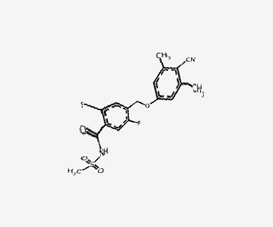 Cc1cc(OCc2cc(F)c(C(=O)NS(C)(=O)=O)cc2F)cc(C)c1C#N